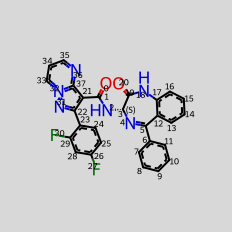 O=C(N[C@H]1N=C(c2ccccc2)c2ccccc2NC1=O)c1c(-c2ccc(F)cc2F)nn2cccnc12